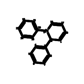 C1=CC(c2ccccc2)N(c2ccccc2)C=C1